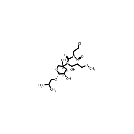 COCCCN(C(=O)N(CCCl)N=O)[C@@]1(O)CO[C@@H](OCC(C)C)[C@H](O)[C@H]1O